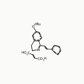 CCCCOc1ccc2c(c1)CCN=C2/C=C/c1ccccc1.O=C(O)/C=C/C(=O)O